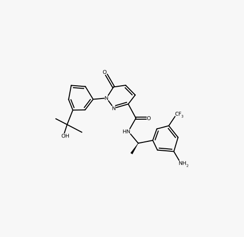 C[C@@H](NC(=O)c1ccc(=O)n(-c2cccc(C(C)(C)O)c2)n1)c1cc(N)cc(C(F)(F)F)c1